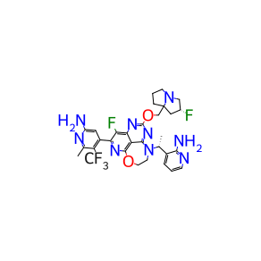 Cc1nc(N)cc(-c2nc3c4c(nc(OCC56CCCN5C[C@H](F)C6)nc4c2F)N([C@H](C)c2cccnc2N)CCO3)c1C(F)(F)F